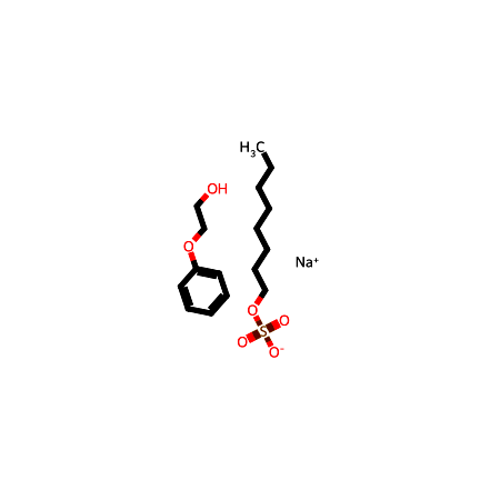 CCCCCCCCOS(=O)(=O)[O-].OCCOc1ccccc1.[Na+]